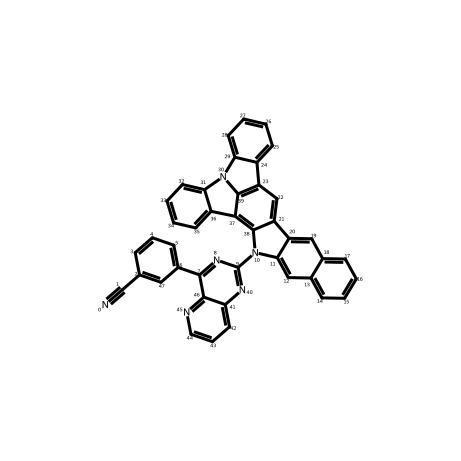 N#Cc1cccc(-c2nc(-n3c4cc5ccccc5cc4c4cc5c6ccccc6n6c7ccccc7c(c43)c56)nc3cccnc23)c1